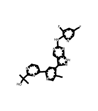 Cc1cnc(-c2ccnc(C(C)(C)O)n2)cc1-c1n[nH]c2nc(Nc3ncc(F)cc3F)ncc12